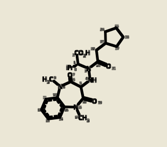 CC(C)[C@@H](C(=O)O)N(NC1C(=O)N(C)c2ccccc2N(C)C1=O)C(=O)CC1CCCC1